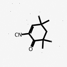 [C-]#[N+]C1=CC(C)(C)CC(C)(C)C1=O